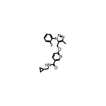 Cc1nnn(-c2ccccc2F)c1COc1ccc(C(=O)NCC2CC2)cn1